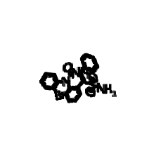 NC(=O)N(c1ccccc1Br)c1ccccc1C(=Cc1ccccc1)S(N)(=O)=O